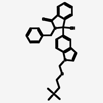 C[Si](C)(C)CCOCn1ccc2cc(C3(O)c4ccccc4C(=O)N3Cc3ccccc3)ccc21